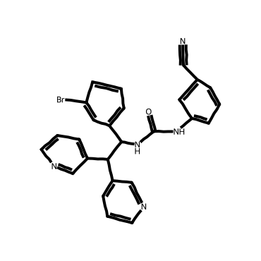 N#Cc1cccc(NC(=O)NC(c2cccc(Br)c2)C(c2cccnc2)c2cccnc2)c1